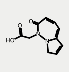 O=C(O)CN1C(=O)C=CC=C2C=CCN21